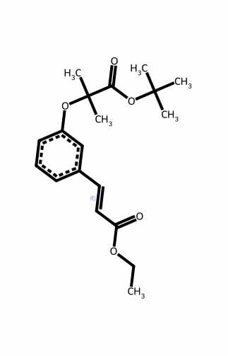 CCOC(=O)/C=C/c1cccc(OC(C)(C)C(=O)OC(C)(C)C)c1